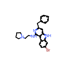 Brc1ccc2c(c1)[nH]c1cc(Cc3ccccc3)nc(NCCN3CCCC3)c12